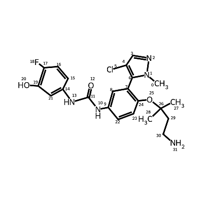 Cn1ncc(Cl)c1-c1cc(NC(=O)Nc2ccc(F)c(O)c2)ccc1OC(C)(C)CCN